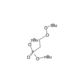 CCCCOP(=O)(CCOOC(C)(C)C)OCCCC